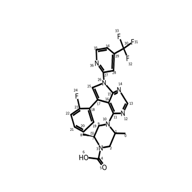 CC1CN(C(=O)O)[C@@H](C)CN1c1ncnc2c1c(-c1ccccc1F)cn2-c1cc(C(F)(F)F)ccn1